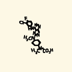 CN(CC(=O)O)[C@H]1CC[C@H](N(C)c2ncc3ncnc(Nc4ccc(F)c(Cl)c4)c3n2)CC1